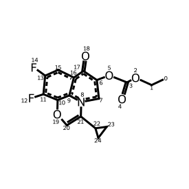 CCOC(=O)Oc1cn2c3c(c(F)c(F)cc3c1=O)OC=C2C1CC1